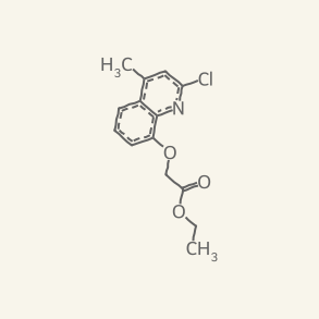 CCOC(=O)COc1cccc2c(C)cc(Cl)nc12